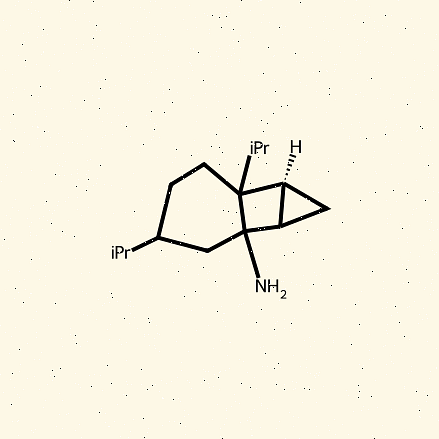 CC(C)C1CCC2(C(C)C)[C@H]3CC3C2(N)C1